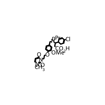 CCCN(Cc1ccc(OCCn2c(=O)ccn(C)c2=O)c(OC)c1)C(CC(=O)O)C1C=CC(Cl)=CC1